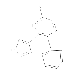 Nc1ncc(-c2ccccc2)c(-c2c[c][nH]c2)n1